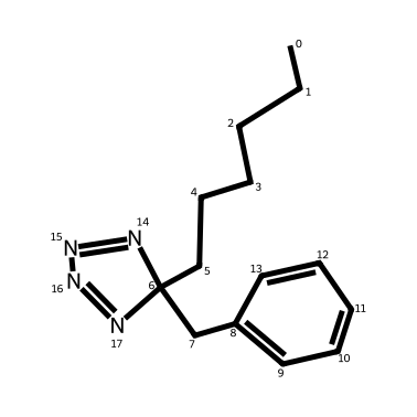 CCCCCCC1(Cc2ccccc2)N=NN=N1